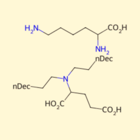 CCCCCCCCCCCCN(CCCCCCCCCCCC)C(CCC(=O)O)C(=O)O.NCCCCC(N)C(=O)O